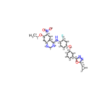 CCOc1cc2ncnc(Nc3ccc(Oc4cccc(-c5nnc(C6CC6)o5)c4)cc3F)c2cc1[N+](=O)[O-]